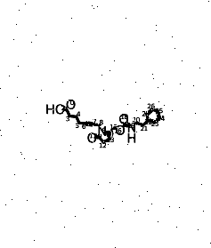 O=C(O)CCCC#CCN1C(=O)CC[C@@H]1COC(=O)NCCc1ccccc1